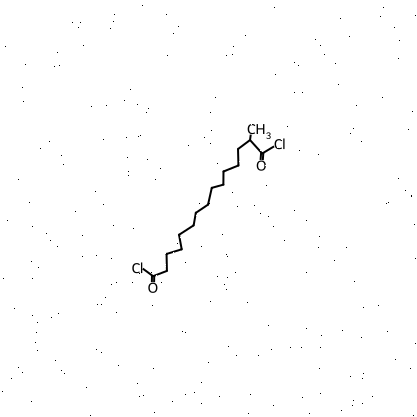 CC(CCCCCCCCCCCCC(=O)Cl)C(=O)Cl